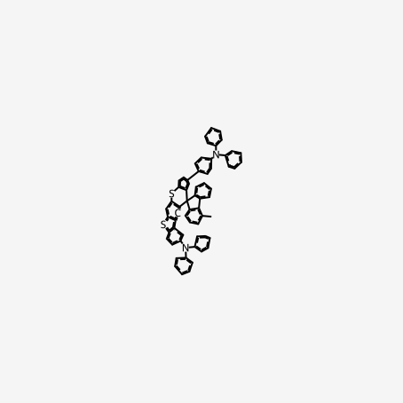 Cc1cccc2c1-c1ccccc1C21c2cc(-c3ccc(N(c4ccccc4)c4ccccc4)cc3)ccc2Sc2cc3sc4ccc(N(c5ccccc5)c5ccccc5)cc4c3cc21